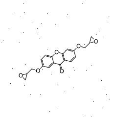 O=c1c2ccc(OCC3CO3)cc2oc2ccc(OCC3CO3)cc12